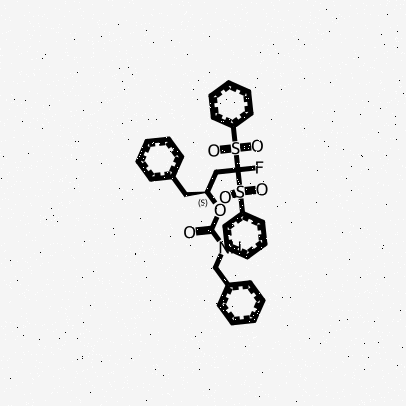 O=C(NCc1ccccc1)O[C@@H](Cc1ccccc1)CC(F)(S(=O)(=O)c1ccccc1)S(=O)(=O)c1ccccc1